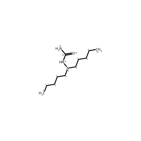 CCCCCN(CCCCC)NC(N)=O